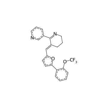 FC(F)(F)Oc1ccccc1-c1ccc(C=C2CCCN=C2c2cccnc2)o1